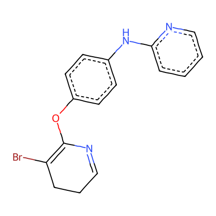 BrC1=C(Oc2ccc(Nc3ccccn3)cc2)N=CCC1